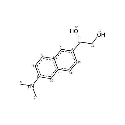 CN(C)c1ccc2cc([C@H](O)CO)ccc2c1